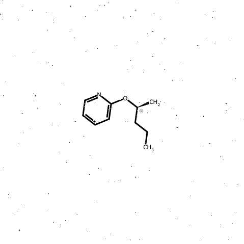 [CH2][C@@H](CCC)Oc1ccccn1